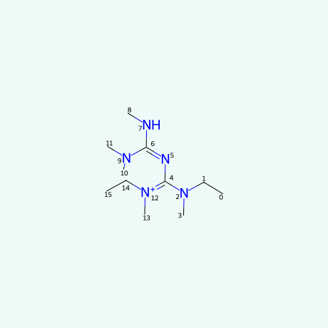 CCN(C)C(/N=C(/NC)N(C)C)=[N+](\C)CC